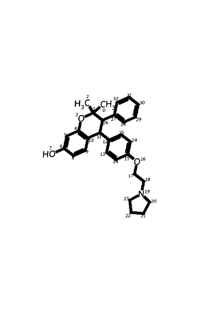 CC1(C)Oc2cc(O)ccc2C(c2ccc(OCCN3CCCC3)cc2)C1c1ccccc1